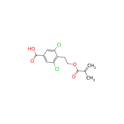 C=C(C)C(=O)OCCc1c(Cl)cc(C(=O)O)cc1Cl